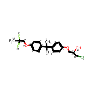 CC(C)(c1ccc(OC[C@@H](O)CCl)cc1)c1ccc(OCC(F)(F)C(F)(F)F)cc1